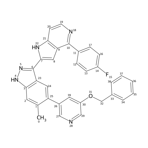 Cc1cc2[nH]nc(-c3cc4c(-c5ccc(F)cc5)nccc4[nH]3)c2cc1-c1cncc(OCc2ccccc2)c1